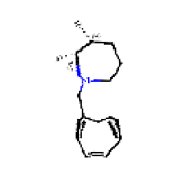 C[C@@H]1CCCN(Cc2ccccc2)[C@@H]1C